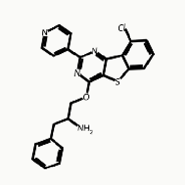 NC(COc1nc(-c2ccncc2)nc2c1sc1cccc(Cl)c12)Cc1ccccc1